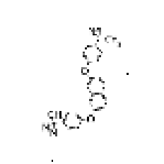 CC1(c2ccc(Oc3ccc4ccc(Oc5ccc(C6(C(F)(F)F)C=N6)cc5)cc4c3)cc2)N=N1